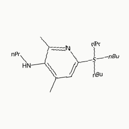 CCCCS(CCC)(CCCC)c1cc(C)c(NCCC)c(C)n1